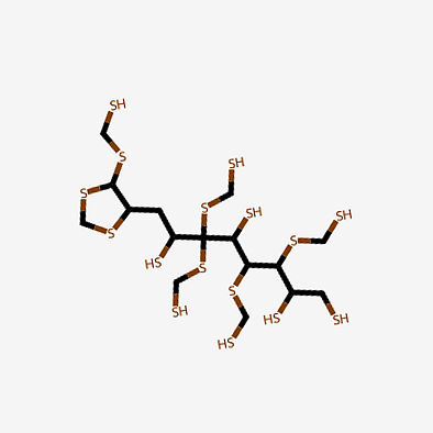 SCSC1SCSC1CC(S)C(SCS)(SCS)C(S)C(SCS)C(SCS)C(S)CS